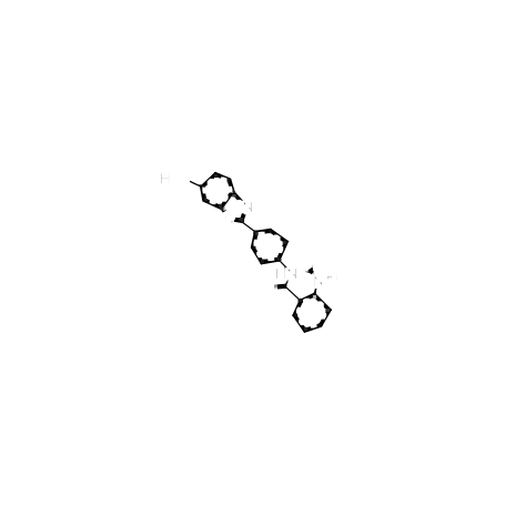 Cc1ccc2nc(-c3ccc(NC(=O)c4ccccc4[N+](=O)[O-])cc3)sc2c1